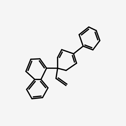 C=CC1(c2cccc3ccccc23)C=CC(c2ccccc2)=CC1